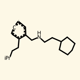 CC(C)CCc1cc[c]cc1CNCCC1CCCCC1